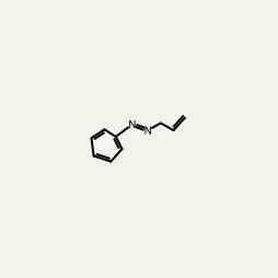 C=CC/N=N/c1ccccc1